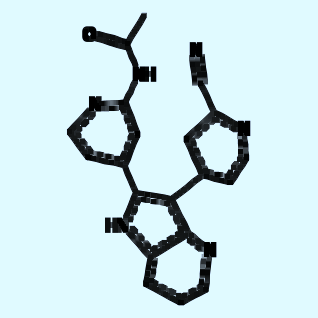 CC(=O)Nc1cc(-c2[nH]c3cccnc3c2-c2ccnc(C#N)c2)ccn1